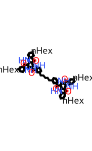 CCCCCCc1ccc2[nH]c3c(c(=O)c2c1)c1[nH]c2ccc(CCCCCc4ccc5[nH]c6c7c(=O)c8cc(CCCCCC)ccc8[nH]c7c7c(=O)c8cc(CCCCCC)ccc8[nH]c7c6c(=O)c5c4)cc2c(=O)c1c1[nH]c2ccc(CCCCCC)cc2c(=O)c31